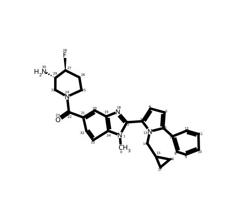 Cn1c(-c2ccc(-c3ccccc3)n2CC2CC2)nc2cc(C(=O)N3CC[C@H](F)[C@@H](N)C3)ccc21